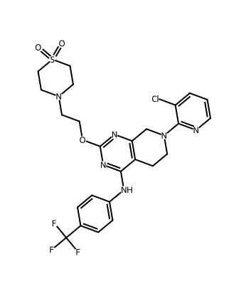 O=S1(=O)CCN(CCOc2nc3c(c(Nc4ccc(C(F)(F)F)cc4)n2)CCN(c2ncccc2Cl)C3)CC1